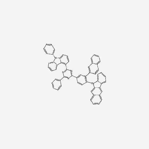 c1ccc(-c2nc(-c3ccc(-n4c5ccccc5c5cc6ccccc6cc54)c(-c4ccc5ccccc5c4)c3)nc(-c3cccc4c3c3ccccc3n4-c3ccccc3)n2)cc1